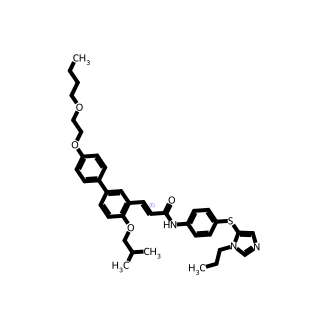 CCCCOCCOc1ccc(-c2ccc(OCC(C)C)c(/C=C/C(=O)Nc3ccc(Sc4cncn4CCC)cc3)c2)cc1